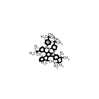 CC(C)(C)c1ccc(N2B3c4cc(C(C)(C)C)ccc4-n4c5cc6c(cc5c5c7c(c(c3c54)-c3cc(C(C)(C)C)ccc32)-c2ccccc2C7(C)C)C(C)(C)CCC6(C)C)cc1